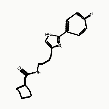 O=C(NCCc1c[nH]c(-c2ccc(Cl)cc2)n1)C1CCC1